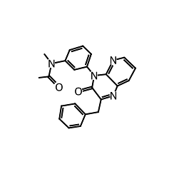 CC(=O)N(C)c1cccc(-n2c(=O)c(Cc3ccccc3)nc3cccnc32)c1